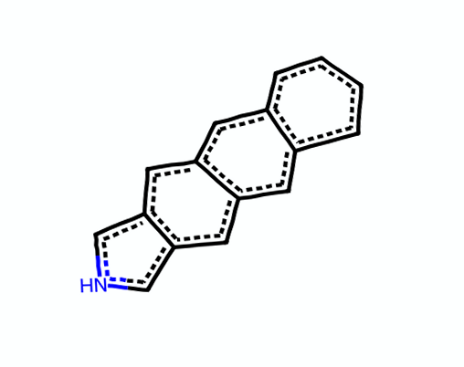 c1ccc2cc3cc4c[nH]cc4cc3cc2c1